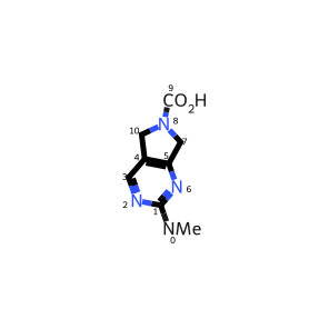 CNc1ncc2c(n1)CN(C(=O)O)C2